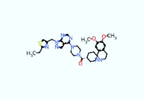 CCc1nc(Cn2ncc3c(N4CCN(C(=O)[C@H]5CC[C@]6(CC5)NCCc5cc(OC)c(OC)cc56)CC4)ncnc32)cs1